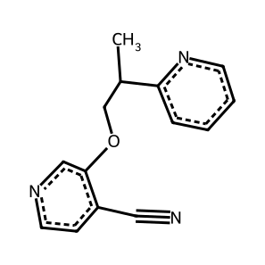 CC(COc1cnccc1C#N)c1ccccn1